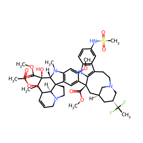 CC[C@]12C=CCN3CC[C@@]4(c5cc([C@@]6(C(=O)OC)C[C@@H]7C[C@@H](C(C)(F)F)C[N@](CCc8c6[nH]c6ccc(NS(C)(=O)=O)cc86)C7)c(OC)cc5N(C)[C@H]4[C@@](O)(C(=O)OC)[C@@H]1OC(C)=O)[C@@H]32